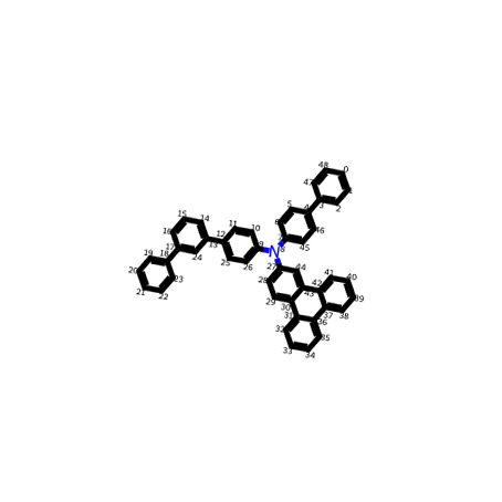 c1ccc(-c2ccc(N(c3ccc(-c4cccc(-c5ccccc5)c4)cc3)c3ccc4c5ccccc5c5ccccc5c4c3)cc2)cc1